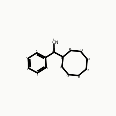 N#CC(c1ccccc1)C1CCCCCCC1